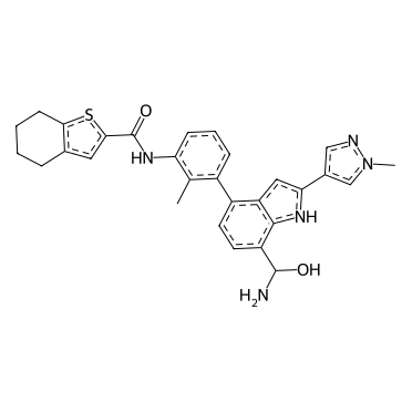 Cc1c(NC(=O)c2cc3c(s2)CCCC3)cccc1-c1ccc(C(N)O)c2[nH]c(-c3cnn(C)c3)cc12